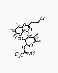 CC(=O)CCC(=O)OC1[C@H](O[C@@H]2C(OC(C)=O)C(OC(=N)C(Cl)(Cl)Cl)OC(C)[C@@H]2C)OC(C)[C@H](C)[C@@H]1C